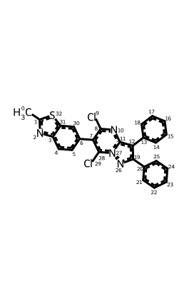 Cc1nc2ccc(-c3c(Cl)nc4c(-c5ccccc5)c(-c5ccccc5)nn4c3Cl)cc2s1